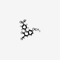 COc1ccc2cc(C#N)c(=O)n(-c3ccc([N+](=O)[O-])cc3)c2c1